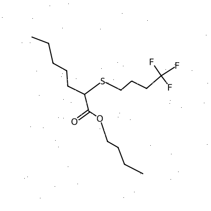 CCCCCC(SCCCC(F)(F)F)C(=O)OCCCC